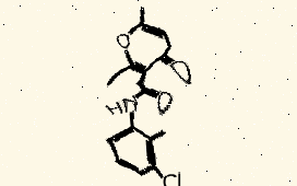 Cc1cc(=O)c(C(=O)Nc2cccc(Cl)c2C)c(C)o1